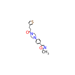 Cc1ncc(-c2ccc(N3CCN(C(=O)CCc4ccsc4)CC3)cc2)o1